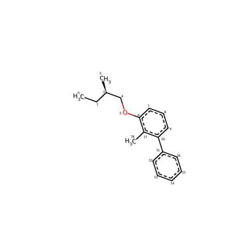 CC[C@@H](C)COc1cccc(-c2ccccc2)c1C